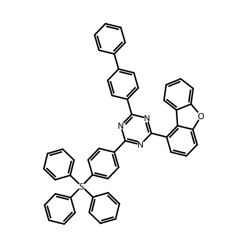 c1ccc(-c2ccc(-c3nc(-c4ccc(S(c5ccccc5)(c5ccccc5)c5ccccc5)cc4)nc(-c4cccc5oc6ccccc6c45)n3)cc2)cc1